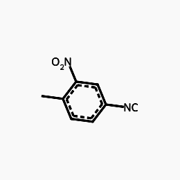 [C-]#[N+]c1ccc(C)c([N+](=O)[O-])c1